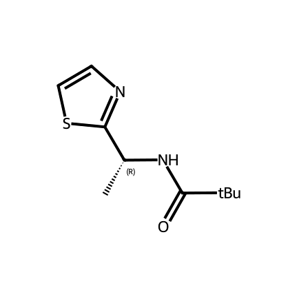 C[C@@H](NC(=O)C(C)(C)C)c1nccs1